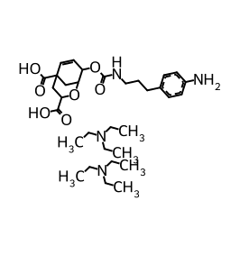 CCN(CC)CC.CCN(CC)CC.Nc1ccc(CCCNC(=O)OC2C=CC3(C(=O)O)CC(C(=O)O)OC2C3)cc1